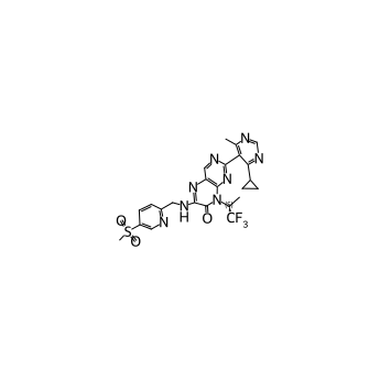 Cc1ncnc(C2CC2)c1-c1ncc2nc(NCc3ccc(S(C)(=O)=O)cn3)c(=O)n([C@@H](C)C(F)(F)F)c2n1